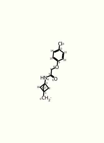 [CH2]C12CC(NC(=O)COc3ccc(Cl)cc3)(C1)C2